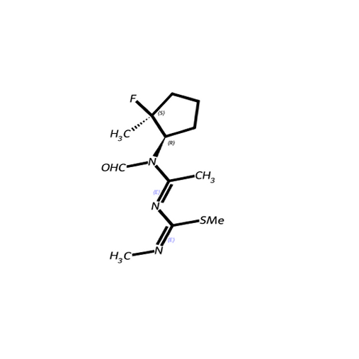 C/N=C(\N=C(/C)N(C=O)[C@@H]1CCC[C@]1(C)F)SC